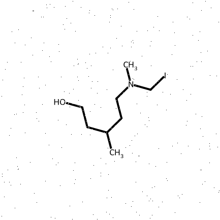 CC(CCO)CCN(C)CI